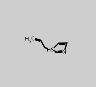 C=CC[SH]1[C]=NC=C1